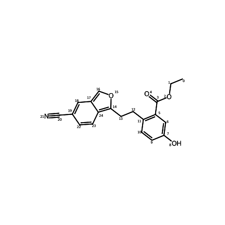 CCOC(=O)c1cc(O)ccc1CCc1occ2cc(C#N)ccc12